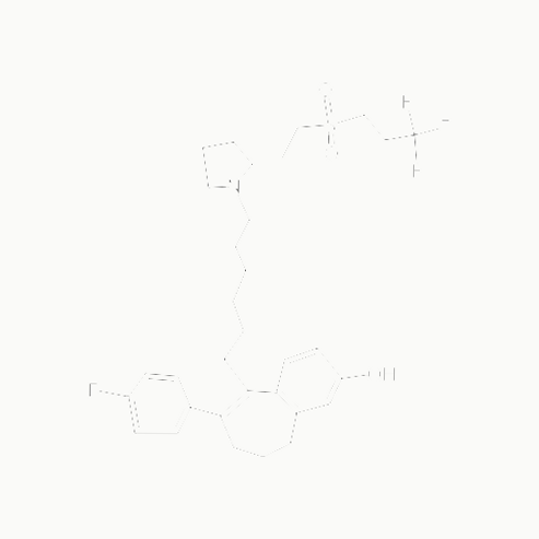 O=S(=O)(CC[C@H]1CCCN1CCCCCCC1=C(c2ccc(F)cc2)CCCc2cc(O)ccc21)CCC(F)(F)F